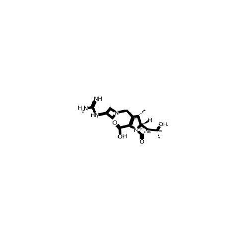 C[C@@H](O)[C@@H]1C(=O)N2C(C(=O)O)=C(CN3CC(NC(=N)N)C3)[C@H](C)[C@H]12